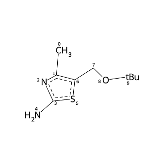 Cc1nc(N)sc1COC(C)(C)C